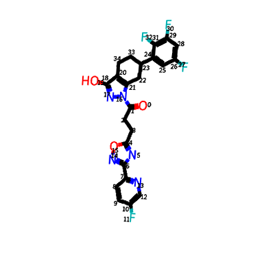 O=C(CCc1nc(-c2ccc(F)cn2)no1)n1nc(O)c2c1CC(c1cc(F)cc(F)c1F)CC2